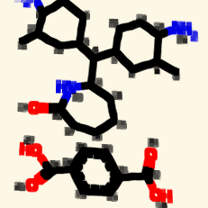 CC1CC(C(C2CCC(N)C(C)C2)C2CCCCC(=O)N2)CCC1N.O=C(O)c1ccc(C(=O)O)cc1